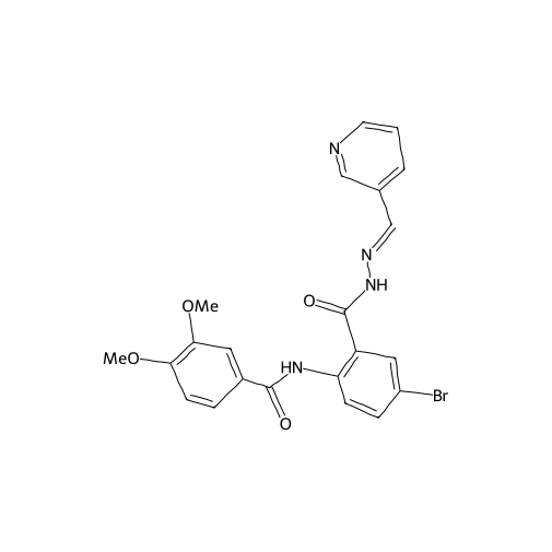 COc1ccc(C(=O)Nc2ccc(Br)cc2C(=O)N/N=C/c2cccnc2)cc1OC